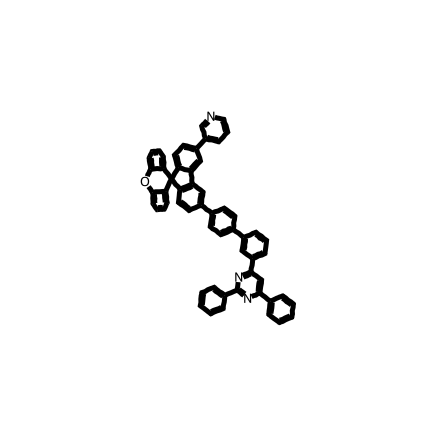 c1ccc(-c2cc(-c3cccc(-c4ccc(-c5ccc6c(c5)-c5cc(-c7cccnc7)ccc5C65c6ccccc6Oc6ccccc65)cc4)c3)nc(-c3ccccc3)n2)cc1